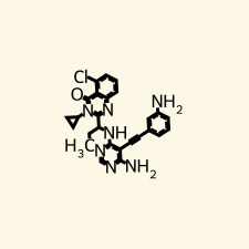 CCC(Nc1ncnc(N)c1C#Cc1cccc(N)c1)c1nc2cccc(Cl)c2c(=O)n1C1CC1